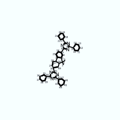 CC1(C)c2cc(-c3nc(-c4ccccc4)nc(-c4ccccc4)n3)ccc2C2C=CC(c3nc(-c4ccccc4)nc(-c4ccccc4)n3)=CC21